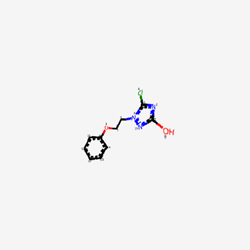 Oc1nc(Cl)n(CCOc2ccccc2)n1